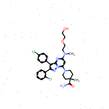 CN(CCOCCO)c1cc(N2CCC(C)(C(N)=O)CC2)n2nc(-c3ccccc3Cl)c(-c3ccc(Cl)cc3)c2n1